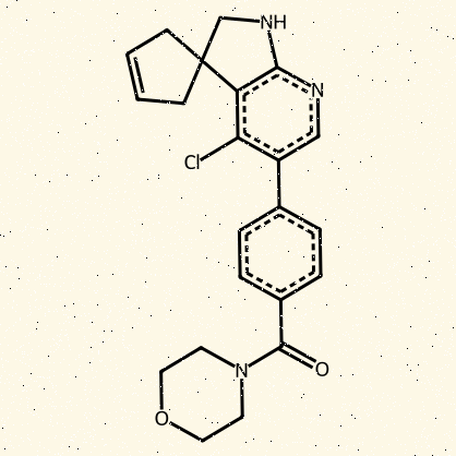 O=C(c1ccc(-c2cnc3c(c2Cl)C2(CC=CC2)CN3)cc1)N1CCOCC1